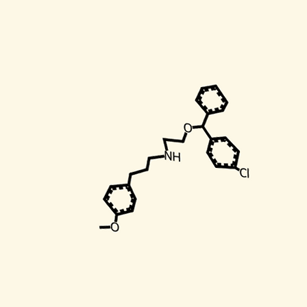 COc1ccc(CCCNCCOC(c2ccccc2)c2ccc(Cl)cc2)cc1